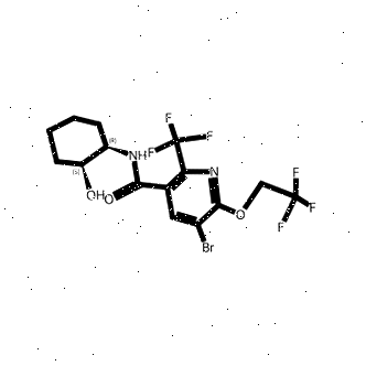 O=C(N[C@@H]1CCCC[C@@H]1O)c1cc(Br)c(OCC(F)(F)F)nc1C(F)(F)F